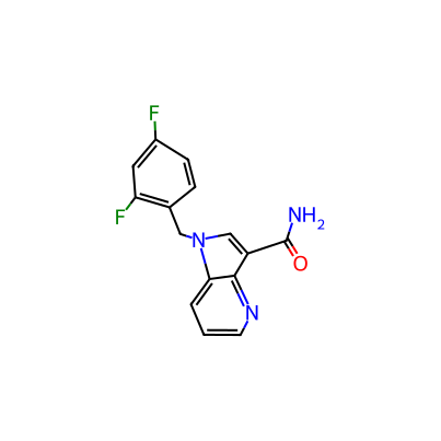 NC(=O)c1cn(Cc2ccc(F)cc2F)c2cccnc12